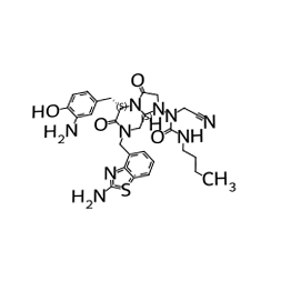 CCCCNC(=O)N(CC#N)N1CC(=O)N2[C@@H](Cc3ccc(O)c(N)c3)C(=O)N(Cc3cccc4sc(N)nc34)C[C@@H]21